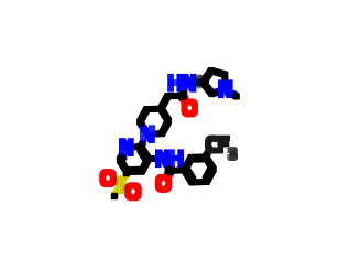 CN1CC[C@H](NC(=O)CC2CCN(c3ncc(S(C)(=O)=O)cc3NC(=O)c3cccc(C(F)(F)F)c3)CC2)C1